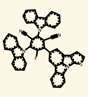 N#Cc1c(-c2cc3c4ccccc4n4c5sccc5c(c2)c34)c(F)c(-n2c3ccccc3c3ccccc32)c(C#N)c1-n1c2ccccc2c2ccccc21